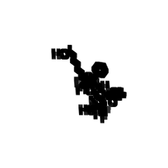 C[C@H](O)CCCCCC[C@@](OCc1ccccc1)(c1nnc(-c2nc(O)c(C(F)(F)F)cc2NC(=O)OC(C)(C)C)o1)C(F)(F)F